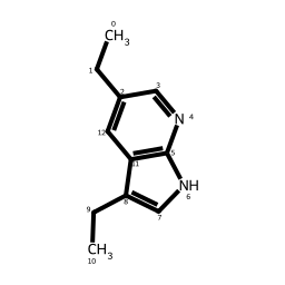 CCc1cnc2[nH]cc(CC)c2c1